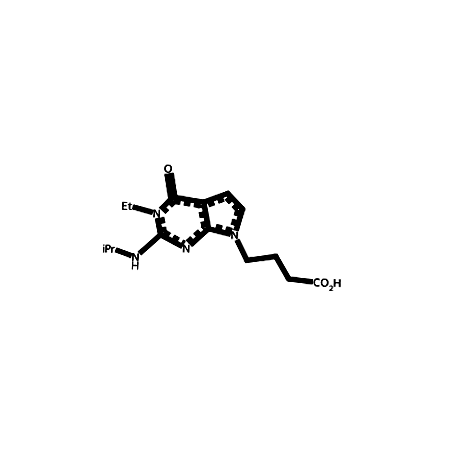 CCn1c(NC(C)C)nc2c(ccn2CCCC(=O)O)c1=O